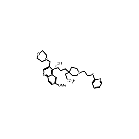 COc1ccc2ncc(CN3CCOCC3)c([C@H](O)CCC3(CC(=O)O)CCN(CCSc4ccccn4)CC3)c2c1